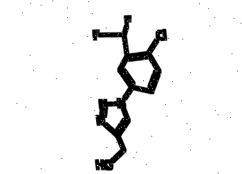 OCc1cn(-c2ccc(Cl)c(C(F)F)c2)nn1